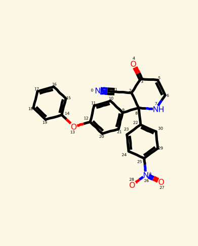 N#CC1C(=O)C=CNC1(c1ccc(Oc2ccccc2)cc1)c1ccc([N+](=O)[O-])cc1